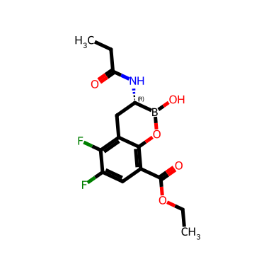 CCOC(=O)c1cc(F)c(F)c2c1OB(O)[C@@H](NC(=O)CC)C2